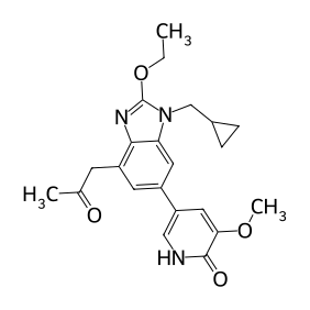 CCOc1nc2c(CC(C)=O)cc(-c3c[nH]c(=O)c(OC)c3)cc2n1CC1CC1